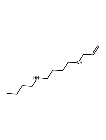 C=CCNCCCCNCCCC